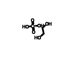 OCCO.[O]=[Cr](=[O])([OH])[OH]